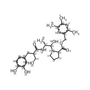 Cc1nc(C)c(COC(=O)C2CCCN2C(O)[C@H](C)NC(=O)C(CO)Cc2ccc(O)c(O)c2)nc1C